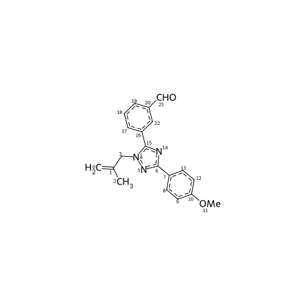 C=C(C)Cn1nc(-c2ccc(OC)cc2)nc1-c1cccc(C=O)c1